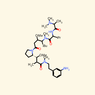 CCC(C)C(C(CC(=O)N1CCC[C@H]1C(OC)C(C)C(=O)N(C)CCc1cccc(N)c1)OC)N(C)C(=O)C(NC(=O)C(C)N(C)C)C(C)C